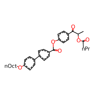 CCCCCCCCOc1ccc(-c2ccc(C(=O)Oc3ccc(C(=O)C(C)OC(=O)CCC)cc3)cc2)cc1